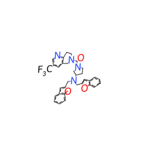 O=C(N1CCc2ncc(C(F)(F)F)cc2C1)N1CCC(N(Cc2cc3ccccc3o2)Cc2cc3ccccc3o2)C1